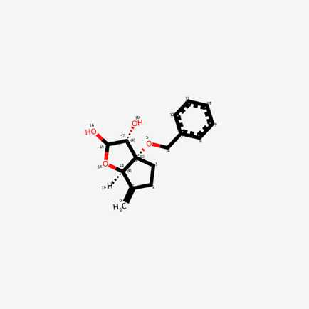 C=C1CC[C@@]2(OCc3ccccc3)[C@@H]1OC(O)[C@@H]2O